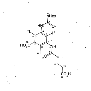 CCCCCCC(=O)Nc1c(I)c(NC(=O)CCCC(=O)O)c(I)c(C(=O)O)c1I